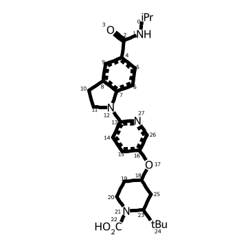 CC(C)NC(=O)c1ccc2c(c1)CCN2c1ccc(OC2CCN(C(=O)O)C(C(C)(C)C)C2)cn1